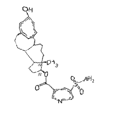 C[C@]12CCC3c4ccc(O)cc4CCC3C1CC[C@@H]2OC(=O)c1cncc(S(N)(=O)=O)c1